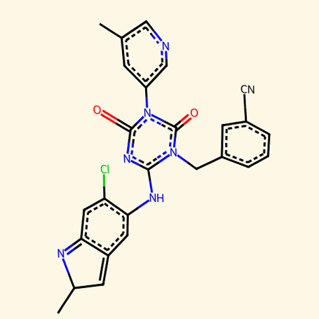 Cc1cncc(-n2c(=O)nc(Nc3cc4c(cc3Cl)=NC(C)C=4)n(Cc3cccc(C#N)c3)c2=O)c1